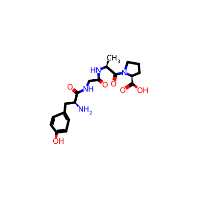 C[C@H](NC(=O)CNC(=O)[C@@H](N)Cc1ccc(O)cc1)C(=O)N1CCC[C@H]1C(=O)O